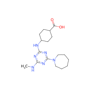 CNc1nc(NC2CCC(C(=O)O)CC2)nc(N2CCCCCC2)n1